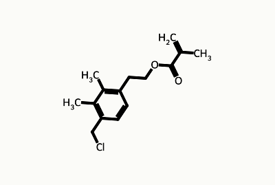 C=C(C)C(=O)OCCc1ccc(CCl)c(C)c1C